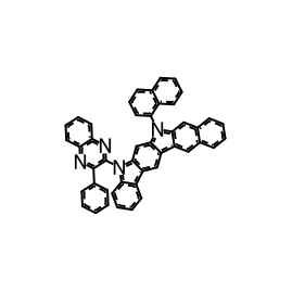 c1ccc(-c2nc3ccccc3nc2-n2c3ccccc3c3cc4c5cc6ccccc6cc5n(-c5cccc6ccccc56)c4cc32)cc1